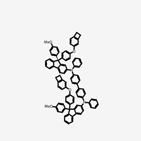 COc1ccc(C2(c3ccc(Oc4ccc5c(c4)CC5)cc3)c3ccccc3-c3ccc(N(c4ccccc4)c4ccc(-c5ccc(N(c6ccccc6)c6ccc7c(c6)[C@@](c6ccc(OC)cc6)(c6ccc(Oc8ccc9c(c8)CC9)cc6)c6ccccc6-7)cc5)cc4)cc32)cc1